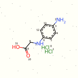 Cl.Cl.Nc1ccc(NCC(=O)O)cc1